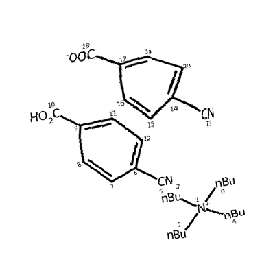 CCCC[N+](CCCC)(CCCC)CCCC.N#Cc1ccc(C(=O)O)cc1.N#Cc1ccc(C(=O)[O-])cc1